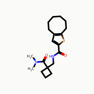 CN(C)C(=O)C1(CNC(=O)c2cc3c(s2)CCCCCC3)CCC1